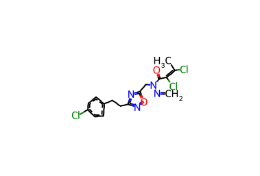 C=NN(Cc1nc(CCc2ccc(Cl)cc2)no1)C(=O)/C(Cl)=C(\C)Cl